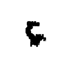 COc1cccc(CN2CCN(Cc3ccc(C(=O)Nc4c(C(N)=O)oc5c(F)cc(F)cc45)o3)CC2)c1